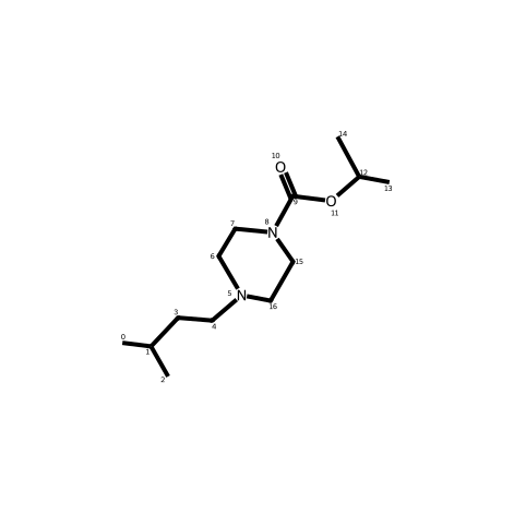 CC(C)CCN1CCN(C(=O)OC(C)C)CC1